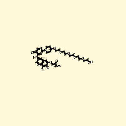 CNC(=O)COc1cc2cc(Nc3nc(N4CCC(OCCOCCOCCOCCOCCO)CC4)ncc3Cl)ccc2n(C)c1=O